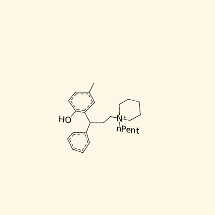 CCCCC[N+]1(CCC(c2ccccc2)c2cc(C)ccc2O)CCCCC1